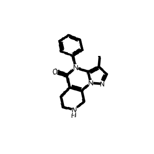 Cc1cnn2c3c(c(=O)n(-c4ccccc4)c12)CCNC3